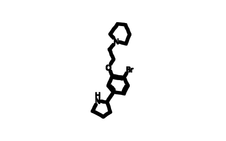 Brc1ccc(C2CCCN2)cc1OCCN1CCCCC1